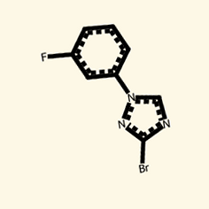 Fc1cccc(-n2cnc(Br)n2)c1